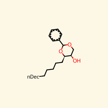 CCCCCCCCCCCCCCC[C@H]1OC(c2ccccc2)OC[C@H]1O